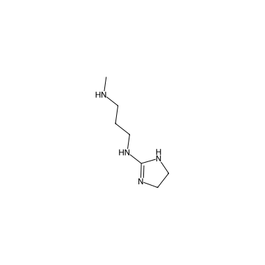 CNCCCNC1=NCCN1